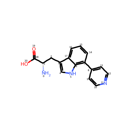 N[C@@H](Cc1c[nH]c2c(-c3ccncc3)cccc12)C(=O)O